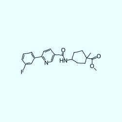 COC(=O)C1(C)CCC(NC(=O)c2ccc(-c3cccc(F)c3)nc2)CC1